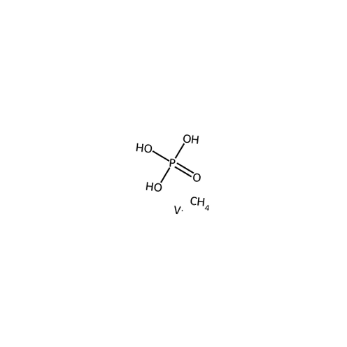 C.O=P(O)(O)O.[V]